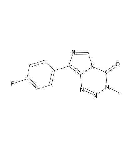 Cn1nnc2c(-c3ccc(F)cc3)ncn2c1=O